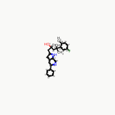 CCC(O)(Cc1cc2cc(-c3ccccc3)ncc2[nH]1)CC(C)(C)c1cc(F)ccc1C